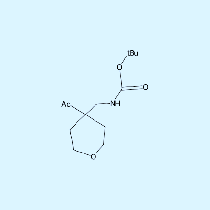 CC(=O)C1(CNC(=O)OC(C)(C)C)CCOCC1